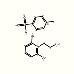 CC(=O)c1cccc(C(C)=O)[n+]1CCO.Cc1ccc(S(=O)(=O)[O-])cc1